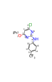 CC(C)Oc1cc(Cl)nc(Nc2ccc(C(F)(F)F)cc2)n1